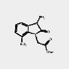 COC(=O)Cn1c(=O)n(N)c2cccc([N+](=O)[O-])c21